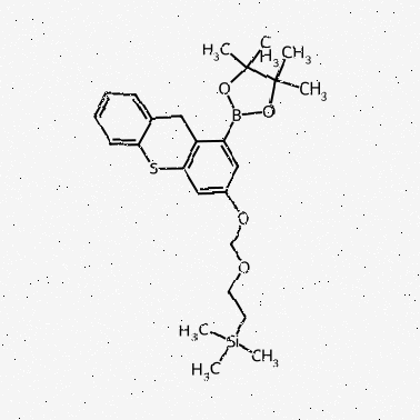 CC1(C)OB(c2cc(OCOCC[Si](C)(C)C)cc3c2Cc2ccccc2S3)OC1(C)C